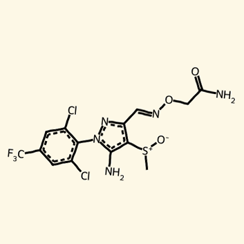 C[S+]([O-])c1c(/C=N/OCC(N)=O)nn(-c2c(Cl)cc(C(F)(F)F)cc2Cl)c1N